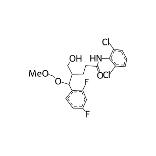 COCOC(c1ccc(F)cc1F)C(CO)CCC(=O)Nc1c(Cl)cccc1Cl